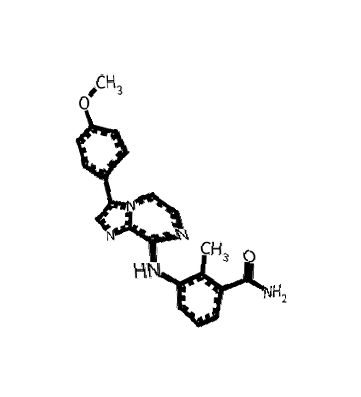 COc1ccc(-c2cnc3c(Nc4cccc(C(N)=O)c4C)nccn23)cc1